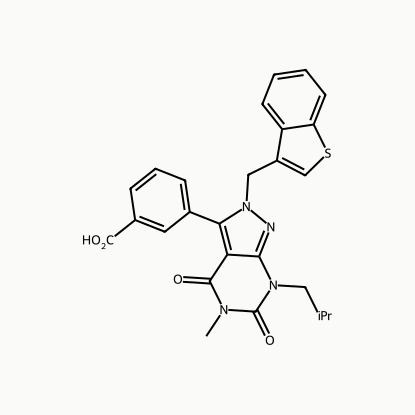 CC(C)Cn1c(=O)n(C)c(=O)c2c(-c3cccc(C(=O)O)c3)n(Cc3csc4ccccc34)nc21